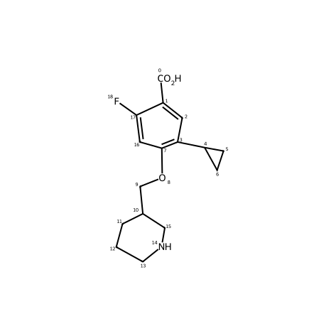 O=C(O)c1cc(C2CC2)c(OCC2CCCNC2)cc1F